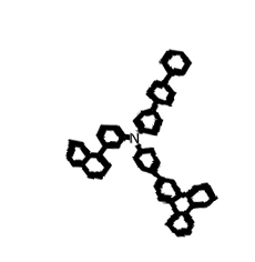 C1=CC(N(c2ccc(-c3ccc(-c4ccccc4)cc3)cc2)c2cccc(-c3cccc4ccccc34)c2)CC=C1c1ccc2c3ccccc3c3ccccc3c2c1